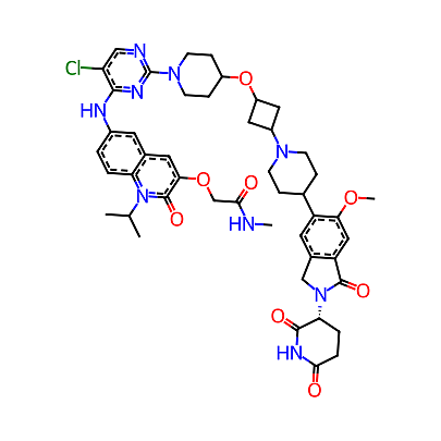 CNC(=O)COc1cc2cc(Nc3nc(N4CCC(OC5CC(N6CCC(c7cc8c(cc7OC)C(=O)N([C@@H]7CCC(=O)NC7=O)C8)CC6)C5)CC4)ncc3Cl)ccc2n(C(C)C)c1=O